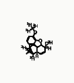 [2H]OC1([2H])C=C[C@@H]2[C@@]34CCN(C)[C@]2([2H])C([2H])([2H])c2ccc(OC([2H])([2H])[2H])c(c23)OC14